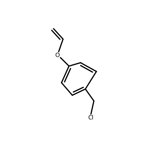 C=COc1ccc(CCl)cc1